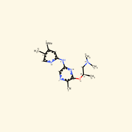 CNc1cc(Nc2cnc(C#N)c(O[C@H](C)CN(C)C)n2)ncc1C